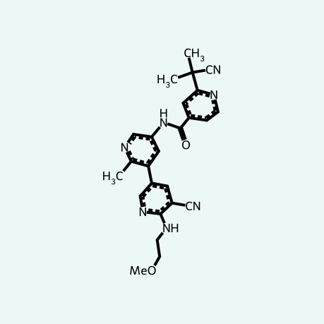 COCCNc1ncc(-c2cc(NC(=O)c3ccnc(C(C)(C)C#N)c3)cnc2C)cc1C#N